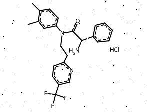 Cc1ccc(N(CCc2ccc(C(F)(F)F)cn2)C(=O)C(N)c2ccccc2)cc1C.Cl